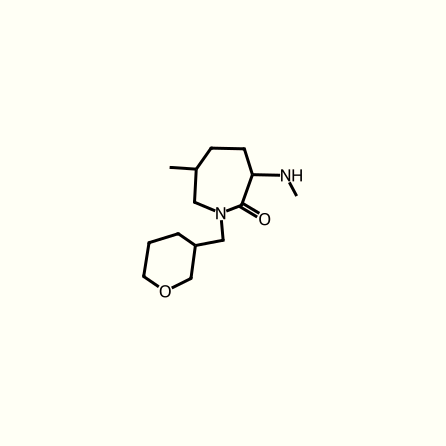 CNC1CCC(C)CN(CC2CCCOC2)C1=O